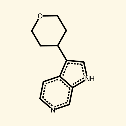 c1cc2c(C3CCOCC3)c[nH]c2cn1